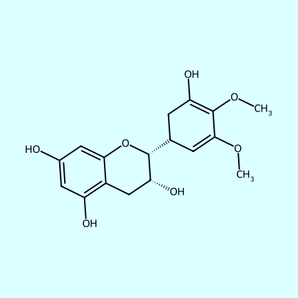 COC1=CC([C@H]2Oc3cc(O)cc(O)c3C[C@H]2O)CC(O)=C1OC